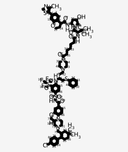 Cc1ncsc1-c1ccc2c(c1)OCCC2C(=O)N[C@@H]1C[C@@H](O)CN1C(=O)[C@@H](NC(=O)CCCCCC(=O)N1CCN(CC[C@H](CSc2ccccc2)Nc2ccc(S(=O)(=O)NC(=O)c3ccc4c(c3)OC[C@@H]3CN(CC5=C(c6ccc(Cl)cc6)CCC(C)(C)C5)CCN43)cc2S(=O)(=O)C(F)(F)F)CC1)C(C)(C)C